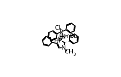 CCCCN([PH](Cl)(c1ccccc1)c1ccccc1)[PH]1(I)C(c2ccccc2)=CN(C)[C@H]1c1ccccc1